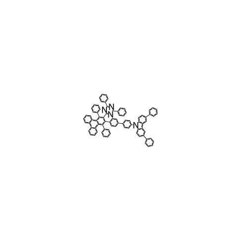 c1ccc(-c2ccc3c(c2)c2cc(-c4ccccc4)ccc2n3-c2ccc(-c3ccc(-c4c(-c5nc(-c6ccccc6)nc(-c6ccccc6)n5)c(-c5ccccc5)c5c6ccccc6c6ccccc6c5c4-c4ccccc4)cc3)cc2)cc1